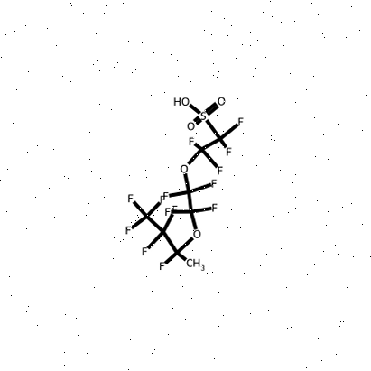 CC(F)(OC(F)(F)C(F)(F)OC(F)(F)C(F)(F)S(=O)(=O)O)C(F)(F)C(F)(F)F